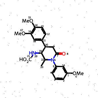 COc1cccc(N2C(=O)CC(c3ccc(OC)c(OC)c3)C(NC(=O)O)C2C)c1